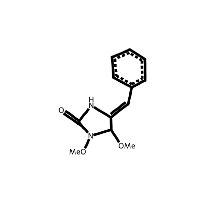 COC1C(=Cc2ccccc2)NC(=O)N1OC